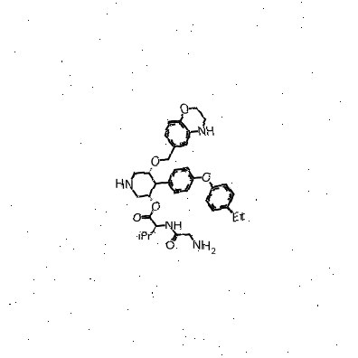 CCc1ccc(Oc2ccc(C3[C@@H](OCc4ccc5c(c4)NCCO5)CNC[C@H]3OC(=O)[C@@H](NC(=O)CN)C(C)C)cc2)cc1